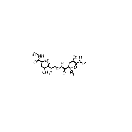 CCC(CC(C)C(=O)NCONC(=O)C(C)CC(CC)C(=O)NC(C)C)C(=O)NC(C)C